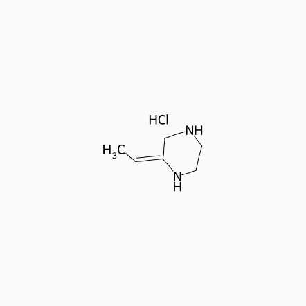 CC=C1CNCCN1.Cl